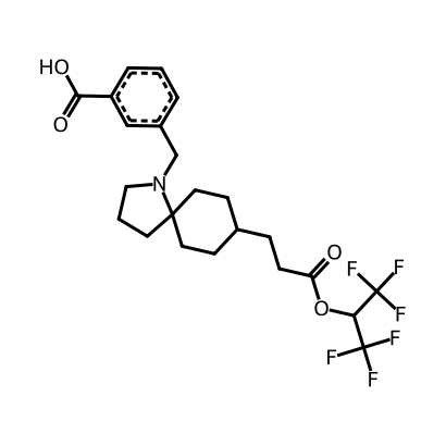 O=C(CCC1CCC2(CCCN2Cc2cccc(C(=O)O)c2)CC1)OC(C(F)(F)F)C(F)(F)F